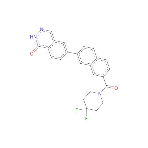 O=C(c1ccc2ccc(-c3ccc4c(=O)[nH]ncc4c3)cc2c1)N1CCC(F)(F)CC1